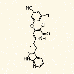 N#Cc1cc(Cl)cc(Oc2cc(CCc3n[nH]c4ncccc34)[nH]c(=O)c2Cl)c1